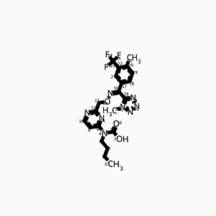 CCCCN(C(=O)O)c1ccnc(CON=C(c2ccc(C)c(C(F)(F)F)c2)c2nnnn2C)n1